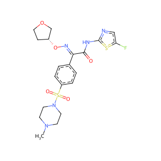 CN1CCN(S(=O)(=O)c2ccc(/C(=N\O[C@@H]3CCOC3)C(=O)Nc3ncc(F)s3)cc2)CC1